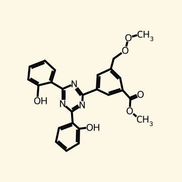 COOCc1cc(C(=O)OC)cc(-c2nc(-c3ccccc3O)nc(-c3ccccc3O)n2)c1